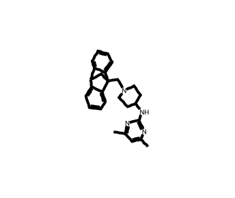 Cc1cc(C)nc(NC2CCN(CC34CC(c5ccccc53)c3ccccc34)CC2)n1